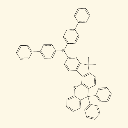 CC1(C)c2cc(N(c3ccc(-c4ccccc4)cc3)c3ccc(-c4ccccc4)cc3)ccc2-c2c1ccc1c2Sc2ccccc2C1(c1ccccc1)c1ccccc1